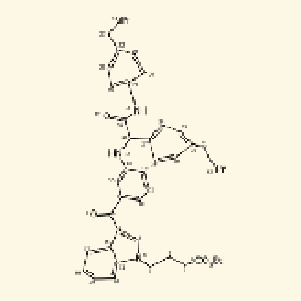 CCOC(=O)CCCn1cc(C(=O)c2cccc(NC(C(=O)Nc3ccc(CC(C)C)cc3)c3ccc(CC(C)C)cc3)c2)c2ccccc21